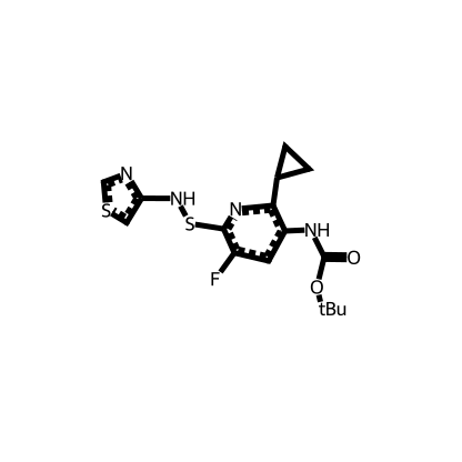 CC(C)(C)OC(=O)Nc1cc(F)c(SNc2cscn2)nc1C1CC1